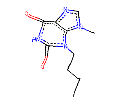 CCCCn1c(=O)[nH]c(=O)c2ncn(C)c21